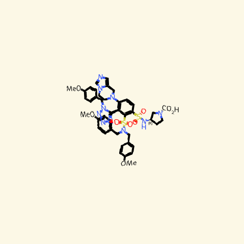 COc1ccc(CN(Cc2ccc(OC)cc2)S(=O)(=O)c2c(S(=O)(=O)N[C@@H]3CCN(C(=O)O)C3)ccc(N3CCn4cncc4C3)c2-c2nnnn2Cc2ccc(OC)cc2)cc1